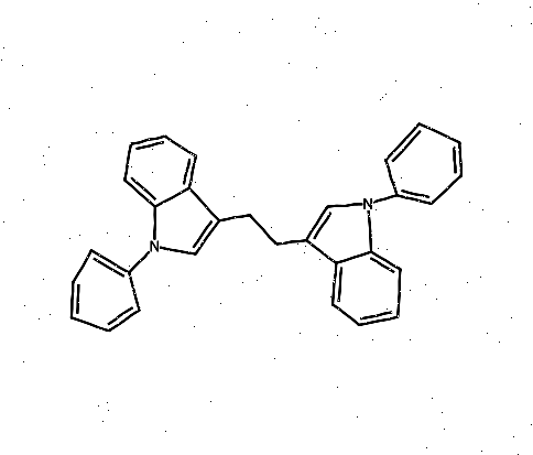 c1ccc(-n2cc(CCc3cn(-c4ccccc4)c4ccccc34)c3ccccc32)cc1